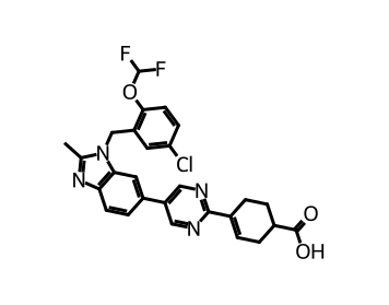 Cc1nc2ccc(-c3cnc(C4=CCC(C(=O)O)CC4)nc3)cc2n1Cc1cc(Cl)ccc1OC(F)F